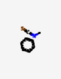 CN=C=S.c1ccccc1